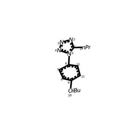 CCCc1nnnn1-c1ccc(OCC(C)C)cc1